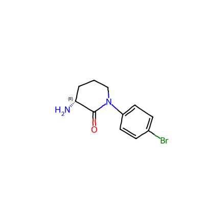 N[C@@H]1CCCN(c2ccc(Br)cc2)C1=O